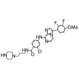 COc1ccc(-c2cnc3c(Nc4ccc(C(=O)NCCCN5CCNCC5)c(Cl)c4)nccn23)c(F)c1F